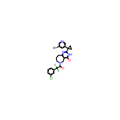 CC(C)c1cncc(C2(c3nc4c(c(=O)[nH]3)CN(C(=O)C(F)(F)c3cccc(Cl)c3)CCC4)CC2)c1